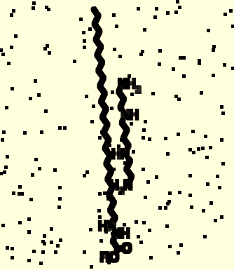 CCCCCCCCCCCCCCCCCCCCCCCCCCCCNNCC(=O)O.NCCCNCCCCNCCCN